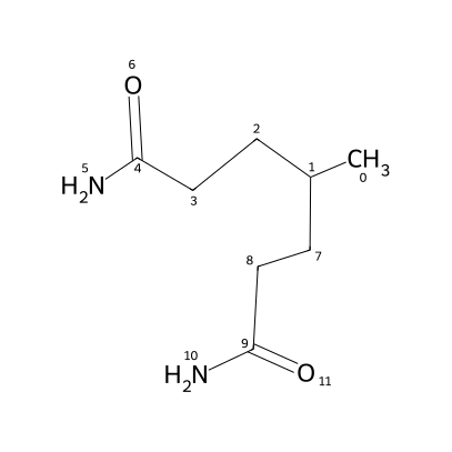 CC(CCC(N)=O)CCC(N)=O